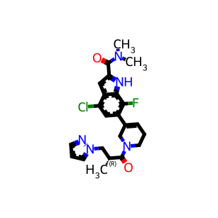 C[C@H](Cn1cccn1)C(=O)N1CCC=C(c2cc(Cl)c3cc(C(=O)N(C)C)[nH]c3c2F)C1